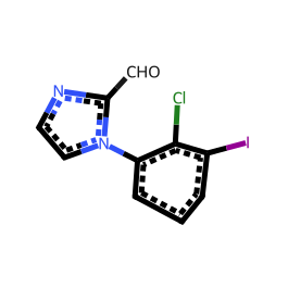 O=Cc1nccn1-c1cccc(I)c1Cl